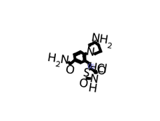 Cl.NC(=O)c1ccc(N2CCC[C@@H](N)C2)c(/C=C2\SC(=O)NC2=O)c1